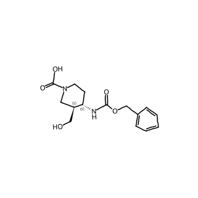 O=C(N[C@H]1CCN(C(=O)O)C[C@@H]1CO)OCc1ccccc1